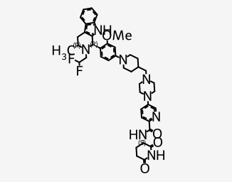 COc1cc(N2CCC(CN3CCN(c4ccc(C(=O)N[C@H]5CCC(=O)NC5=O)nc4)CC3)CC2)ccc1[C@@H]1c2[nH]c3ccccc3c2C[C@@H](C)N1CC(F)F